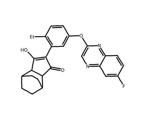 CCc1ccc(Oc2cnc3cc(F)ccc3n2)cc1C1=C(O)C2C3CCC(CC3)C2C1=O